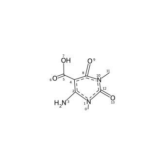 Cn1c(N)c(C(=O)O)c(=O)n(C)c1=O